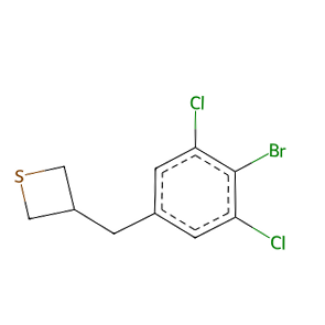 Clc1cc(CC2CSC2)cc(Cl)c1Br